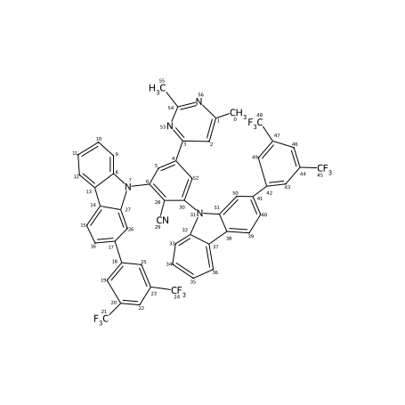 Cc1cc(-c2cc(-n3c4ccccc4c4ccc(-c5cc(C(F)(F)F)cc(C(F)(F)F)c5)cc43)c(C#N)c(-n3c4ccccc4c4ccc(-c5cc(C(F)(F)F)cc(C(F)(F)F)c5)cc43)c2)nc(C)n1